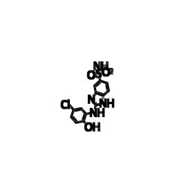 NS(=O)(=O)c1ccc2[nH]c(Nc3cc(Cl)ccc3O)nc2c1